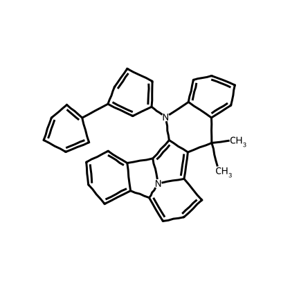 CC1(C)c2ccccc2N(c2cccc(-c3ccccc3)c2)c2c1c1cccc3c4ccccc4c2n13